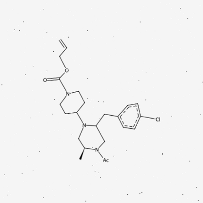 C=CCOC(=O)N1CCC(N2C[C@H](C)N(C(C)=O)CC2Cc2ccc(Cl)cc2)CC1